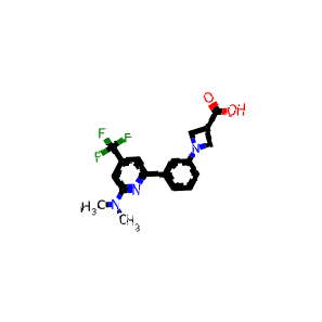 CN(C)c1cc(C(F)(F)F)cc(-c2cccc(N3CC(C(=O)O)C3)c2)n1